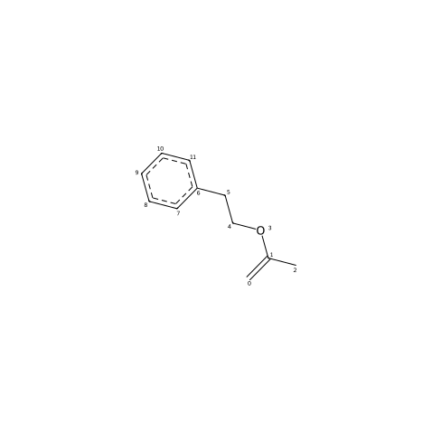 C=C(C)OCCc1ccccc1